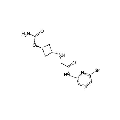 NC(=O)O[C@H]1C[C@H](NCC(=O)Nc2cncc(Br)n2)C1